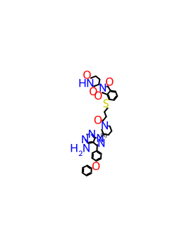 Nc1ncnc2c1c(-c1ccc(Oc3ccccc3)cc1)nn2[C@@H]1CCCN(C(=O)CCCSc2cccc3c2C(=O)N(C2CCC(=O)NC2=O)C3=O)C1